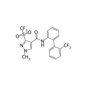 Cn1cc(C(=O)Nc2ccccc2-c2ccccc2C(F)(F)F)c(S(=O)(=O)C(F)(F)F)n1